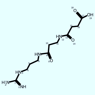 N=C(N)NCCCNC(=O)CCNC(=O)CCC(=O)O